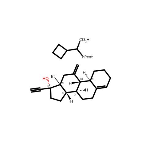 C#C[C@]1(O)CC[C@H]2[C@@H]3CCC4=CCCC[C@@H]4[C@H]3C(=C)C[C@@]21CC.CCCCCC(C(=O)O)C1CCC1